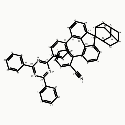 N#Cc1ccccc1-c1cccc2c1-c1c(-c3ccc(-c4nc(-c5ccccc5)nc(-c5ccccc5)n4)cc3)cccc1C21C2CC3CC(C2)CC1C3